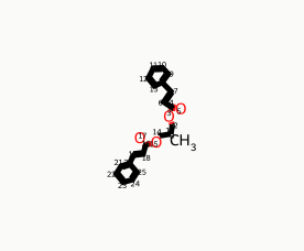 CC(COC(=O)/C=C/c1ccccc1)COC(=O)/C=C/c1ccccc1